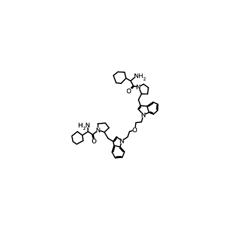 NC(C(=O)N1CCCC1Cc1cn(CCOCCn2cc(CC3CCCN3C(=O)C(N)C3CCCCC3)c3ccccc32)c2ccccc12)C1CCCCC1